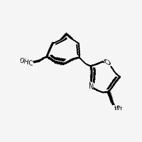 CC(C)c1coc(-c2cccc(C=O)c2)n1